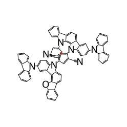 N#Cc1cc(-n2c3ccc(-n4c5ccccc5c5ccccc54)cc3c3ccc4c5ccccc5n(-c5ccccc5)c4c32)c(C#N)cc1-n1c2ccc(-n3c4ccccc4c4ccccc43)cc2c2c3oc4ccccc4c3ccc21